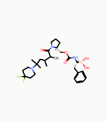 CC(CC(C)(C)N1CCC(F)(F)CC1)C(C#N)C(=O)N1CCC[C@@H]1COC(=O)N[C@@H](Cc1ccccc1)B(O)O